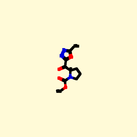 CC(C)(C)OC(=O)N1CCC[C@@H]1C(=O)c1nnc(C(C)(C)C)o1